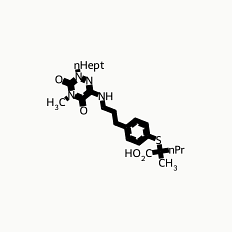 CCCCCCCn1nc(NCCCc2ccc(SC(C)(CCC)C(=O)O)cc2)c(=O)n(C)c1=O